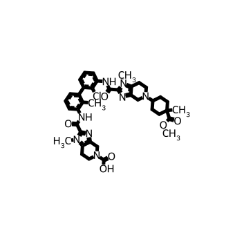 COC(=O)C1(C)CCC(N2CCc3c(nc(C(=O)Nc4cccc(-c5cccc(NC(=O)c6nc7c(n6C)CCN(C(=O)O)C7)c5C)c4Cl)n3C)C2)CC1